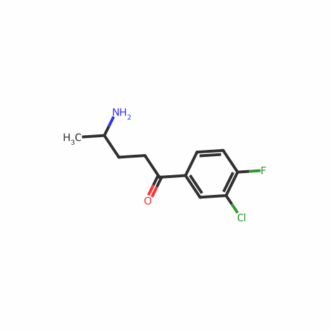 CC(N)CCC(=O)c1ccc(F)c(Cl)c1